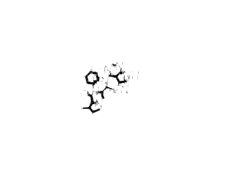 Cc1ccn2cc(C(C)Nc3ncnc4[nH]cc(C#N)c34)n(-c3ccccc3)c(=O)c12